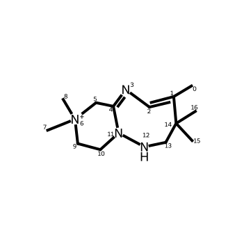 C/C1=C\N=C2\C[N+](C)(C)CCN2NCC1(C)C